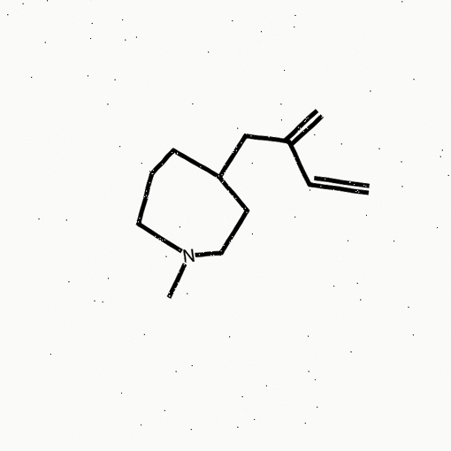 C=CC(=C)CC1CCCN(C)CC1